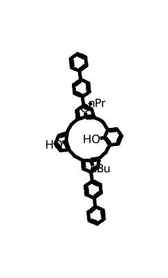 CCCCc1c2cc(-c3ccc(-c4ccccc4)cc3)cc1Cc1cccc(c1O)Cc1cc(-c3ccc(-c4ccccc4)cc3)cc(c1OCCC)Cc1cccc(c1O)C2